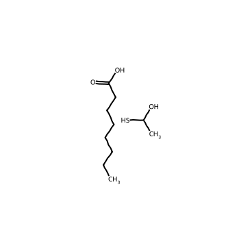 CC(O)S.CCCCCCCC(=O)O